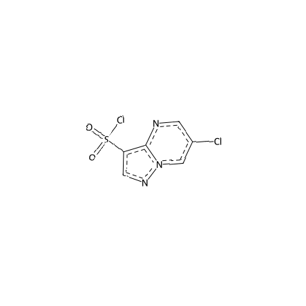 O=S(=O)(Cl)c1cnn2cc(Cl)cnc12